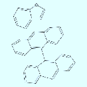 c1ccc2c(-c3c4ccccc4cc4ccccc34)c3ccccc3cc2c1.c1ccc2occc2c1